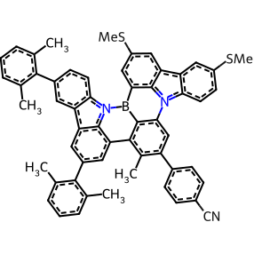 CSc1ccc2c(c1)c1cc(SC)cc3c1n2-c1cc(-c2ccc(C#N)cc2)c(C)c2c1B3n1c3ccc(-c4c(C)cccc4C)cc3c3cc(-c4c(C)cccc4C)cc-2c31